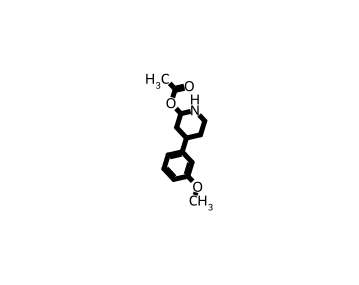 COc1cccc(C2CCNC(OC(C)=O)C2)c1